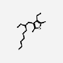 CCCCCCC(CC)Cc1c(C)sc(C)c1CC